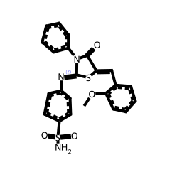 COc1ccccc1C=C1S/C(=N\c2ccc(S(N)(=O)=O)cc2)N(c2ccccc2)C1=O